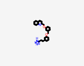 C(=Cc1nnn[nH]1)c1cccc(OCc2cccc(OCc3ccc4ccccc4n3)c2)c1